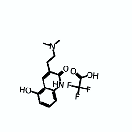 CN(C)CCc1cc2c(O)cccc2[nH]c1=O.O=C(O)C(F)(F)F